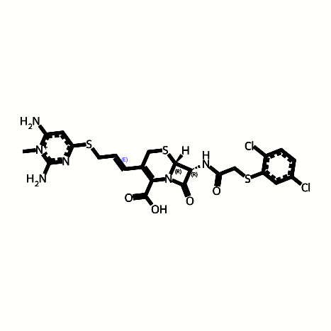 C[n+]1c(N)cc(SC/C=C/C2=C(C(=O)O)N3C(=O)[C@@H](NC(=O)CSc4cc(Cl)ccc4Cl)[C@H]3SC2)nc1N